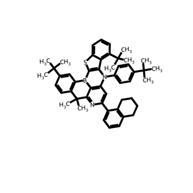 CC(C)(C)c1ccc(N2c3cc(-c4cccc5c4CCCC5)nc4c3B(c3cc(C(C)(C)C)ccc3C4(C)C)c3sc4cccc(C(C)(C)C)c4c32)cc1